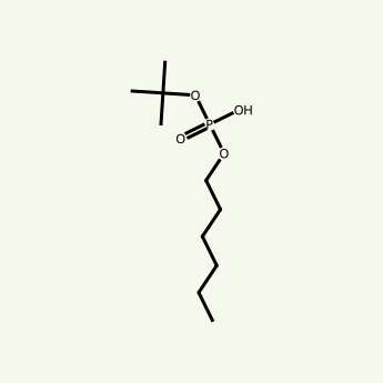 CCCCCCOP(=O)(O)OC(C)(C)C